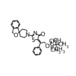 CC(C)(C)[Si](C)(C)OC/C(=C1/SC(N2CCC3(CC2)OCc2ccccc23)=NC1=O)c1ccccc1